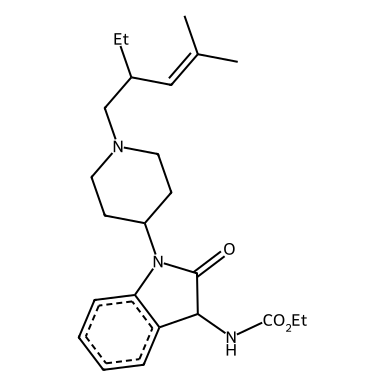 CCOC(=O)NC1C(=O)N(C2CCN(CC(C=C(C)C)CC)CC2)c2ccccc21